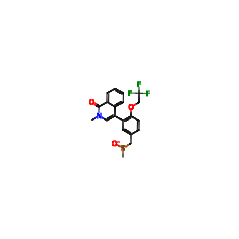 Cn1cc(-c2cc(C[S+](C)[O-])ccc2OCC(F)(F)F)c2ccccc2c1=O